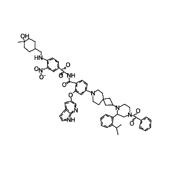 CC(C)c1ccccc1C1CN(S(=O)(=O)c2ccccc2)CCN1C1CC2(CCN(c3ccc(C(=O)NS(=O)(=O)c4ccc(NCC5CCC(C)(O)CC5)c([N+](=O)[O-])c4)c(Oc4cnc5[nH]ccc5c4)c3)CC2)C1